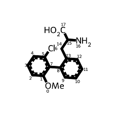 COc1cccc(Cl)c1-c1ccccc1CC(N)C(=O)O